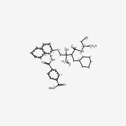 COC(=O)c1ccc(C(=O)N[n+]2c(SCC(O)([PH2]=O)C(CC3CCCCC3)C(=O)N[C@@H](CC(C)C)C(=O)O)ccc3ccccc32)cc1